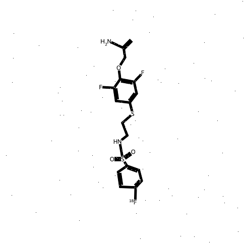 C=C(N)COc1c(F)cc(SCCNS(=O)(=O)c2ccc([18F])cc2)cc1F